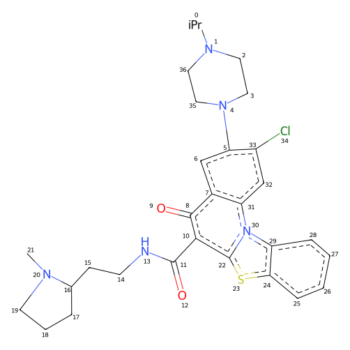 CC(C)N1CCN(c2cc3c(=O)c(C(=O)NCCC4CCCN4C)c4sc5ccccc5n4c3cc2Cl)CC1